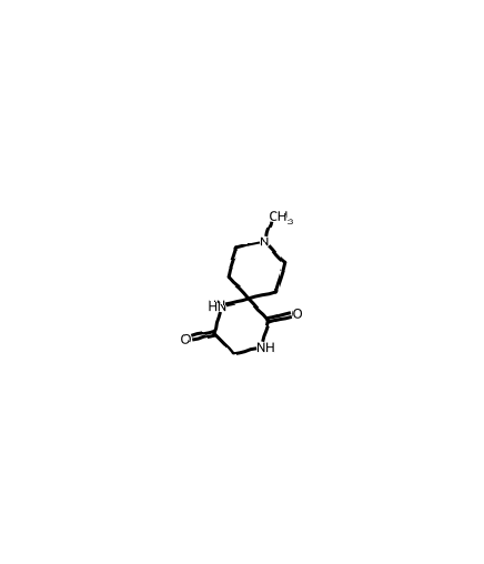 CN1CCC2(CC1)NC(=O)CNC2=O